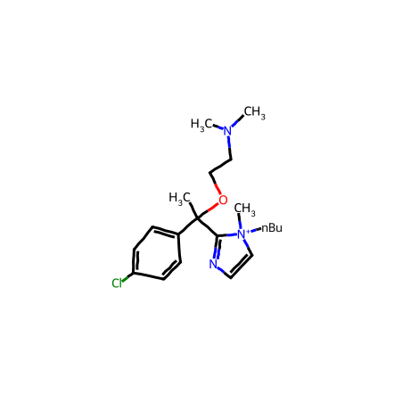 CCCC[N+]1(C)C=CN=C1C(C)(OCCN(C)C)c1ccc(Cl)cc1